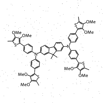 COc1c(C)sc(-c2ccc(N(c3ccc(-c4sc(C)c(OC)c4OC)cc3)c3ccc4c(c3)C(C)(C)c3cc(N(c5ccc(-c6sc(C)c(OC)c6OC)cc5)c5ccc(-c6sc(C)c(OC)c6OC)cc5)ccc3-4)cc2)c1OC